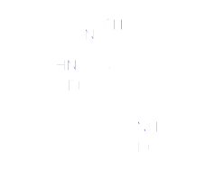 CCNCCCS/C(=N\C)NCC